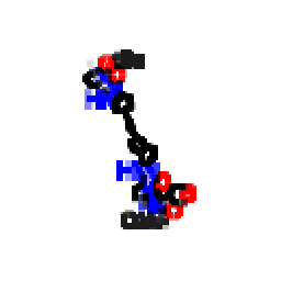 COC(=O)N[C@H](C(=O)N1[C@@H](C)CC[C@H]1c1nc2ccc3cc(C#Cc4ccc5nc([C@@H]6CC[C@H](C)N6C(=O)OC(C)(C)C)[nH]c5c4)ccc3c2[nH]1)C1CCOCC1